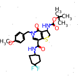 COc1ccc(Cn2cc(C(=O)NC3CCC(F)(F)CC3)c3c(c2=O)[C@@H](NC(=O)OC(C)(C)C)CS3)cc1